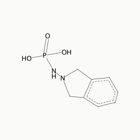 O=P(O)(O)NN1Cc2ccccc2C1